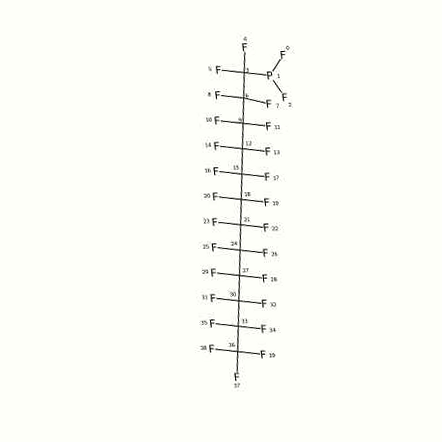 FP(F)C(F)(F)C(F)(F)C(F)(F)C(F)(F)C(F)(F)C(F)(F)C(F)(F)C(F)(F)C(F)(F)C(F)(F)C(F)(F)C(F)(F)F